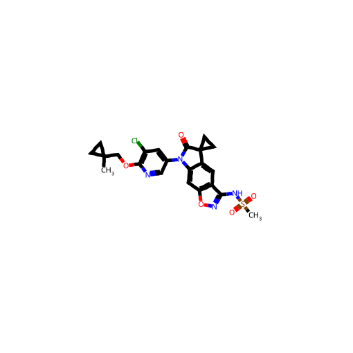 CC1(COc2ncc(N3C(=O)C4(CC4)c4cc5c(NS(C)(=O)=O)noc5cc43)cc2Cl)CC1